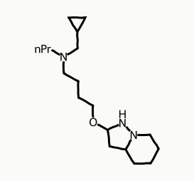 CCCN(CCCCOC1CC2CCCCN2N1)CC1CC1